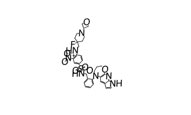 O=C(NS(=O)(=O)c1ccc(NCC2(F)CCN(C3COC3)CC2)c([N+](=O)[O-])c1)c1ccccc1N1CCCOc2nc3[nH]ccc3cc21